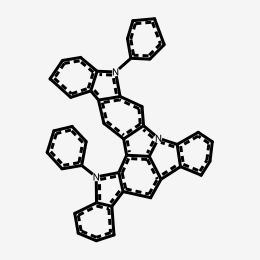 c1ccc(-n2c3ccccc3c3cc4c5c6c(cc7c8ccccc8n(c4cc32)c75)c2ccccc2n6-c2ccccc2)cc1